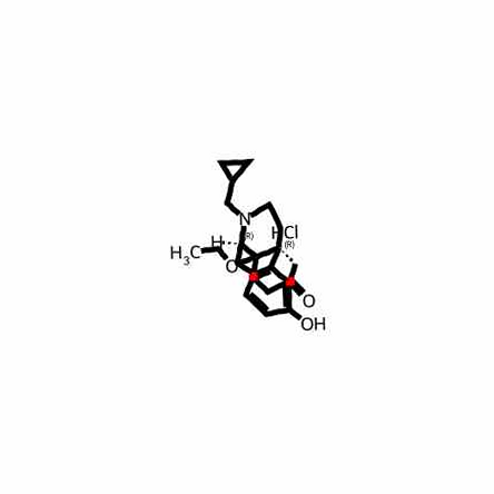 CCOC12CCC(=O)C[C@@]13CCN(CC1CC1)[C@@H]2Cc1ccc(O)cc13.Cl